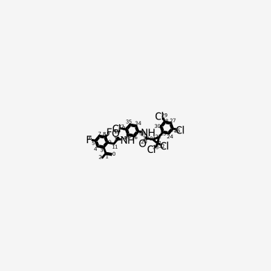 C=C(C)c1cc(F)cc(F)c1CC(=O)Nc1cc(NC(=O)C2C(c3cc(Cl)cc(Cl)c3)C2(Cl)Cl)ccc1Cl